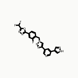 Fc1cc(-c2nnc(C(F)F)o2)ccc1Cn1cc(-c2cncc(-c3cn[nH]c3)c2)nn1